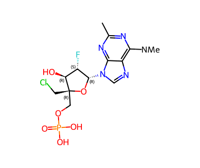 CNc1nc(C)nc2c1ncn2[C@@H]1O[C@](CCl)(COP(=O)(O)O)[C@@H](O)[C@@H]1F